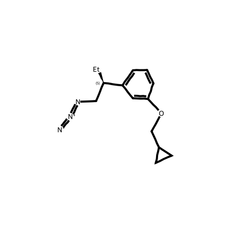 CC[C@H](CN=[N+]=[N-])c1cccc(OCC2CC2)c1